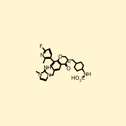 Cc1nc(F)ccc1-c1cc(Cn2ccn(C)c2=N)cc2c1OC[C@@H](CC1CCC(NC(=O)O)CC1)C2=O